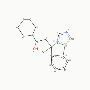 CC1(CC(O)C2CCCCC2)c2ccccc2-c2cncn21